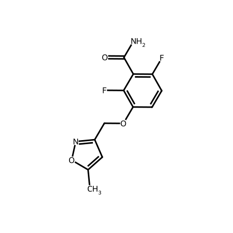 Cc1cc(COc2ccc(F)c(C(N)=O)c2F)no1